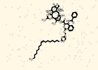 CCCCCCCC/C=C\CCCCCCC[C@H]1OC[C@H](COC(=O)O[C@@H](C(=O)O[C@H]2C[C@]3(O)C(C)C(=C2C)[C@@H](OC(C)=O)C(=O)[C@@]2(C)[C@H]([C@@H]3O)[C@]3(O)CO[C@@H]3C[C@@H]2O)[C@@H](NC(=O)c2ccccc2)c2ccccc2)O1